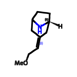 COC/C=C1\CC2CC[C@@H](C1)N2